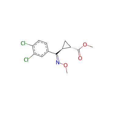 CO/N=C(/c1ccc(Cl)c(Cl)c1)[C@H]1C[C@@H]1C(=O)OC